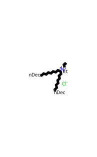 C=CC[N+](C)(CC)C(CCCCCCCCCCCCCCCCCC)CCCCCCCCCCCCCCCCCC.[Cl-]